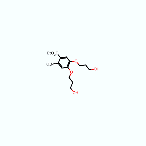 CCOC(=O)c1cc(OCCCO)c(OCCCO)cc1[N+](=O)[O-]